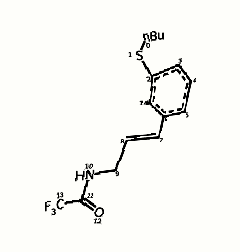 CCCCSc1cccc(/C=C/CNC(=O)C(F)(F)F)c1